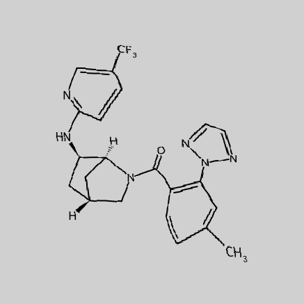 Cc1ccc(C(=O)N2C[C@@H]3C[C@@H](Nc4ccc(C(F)(F)F)cn4)[C@@H]2C3)c(-n2nccn2)c1